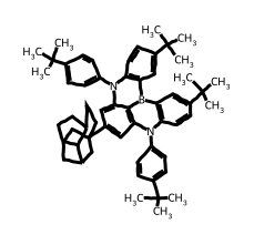 CC(C)(C)c1ccc(N2c3ccc(C(C)(C)C)cc3B3c4cc(C(C)(C)C)ccc4N(c4ccc(C(C)(C)C)cc4)c4cc(C56CCC7CCC8(CC(C5)C78)C6)cc2c43)cc1